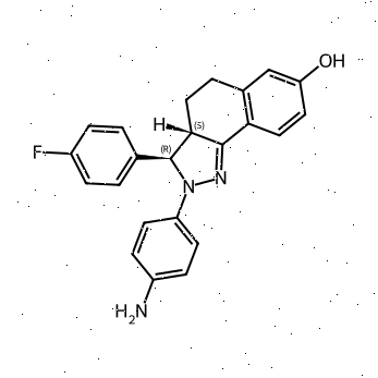 Nc1ccc(N2N=C3c4ccc(O)cc4CC[C@H]3[C@@H]2c2ccc(F)cc2)cc1